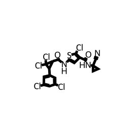 N#CC1(NC(=O)c2cc(NC(=O)C3C(c4cc(Cl)cc(Cl)c4)C3(Cl)Cl)sc2Cl)CC1